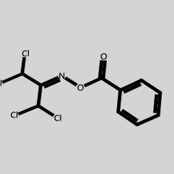 O=C(ON=C(C(Cl)Cl)C(Cl)Cl)c1ccccc1